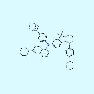 CC1(C)c2cc(N(c3ccc(C4CC5CCC4C5)cc3)c3cccc4cc(C5CCCCC5)ccc34)ccc2-c2c(-c3ccc(C4CCCCC4)cc3)cccc21